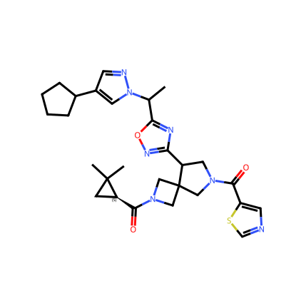 CC(c1nc(C2CN(C(=O)c3cncs3)CC23CN(C(=O)[C@H]2CC2(C)C)C3)no1)n1cc(C2CCCC2)cn1